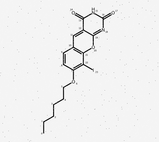 CCCCCCOc1ccc2cc3c(=O)[nH]c(=O)nc-3oc2c1I